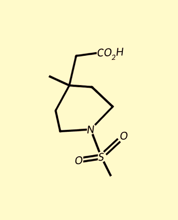 CC1(CC(=O)O)CCN(S(C)(=O)=O)CC1